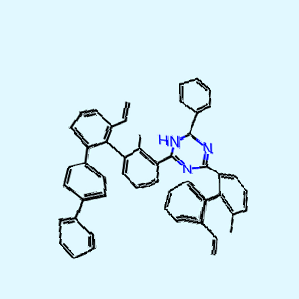 C=Cc1ccccc1-c1c(C)cccc1C1=NC(c2ccccc2)NC(c2cccc(-c3c(C=C)cccc3-c3ccc(-c4ccccc4)cc3)c2C)=N1